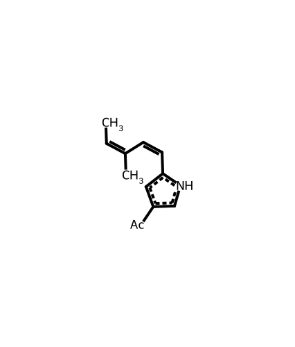 C/C=C(C)\C=C/c1cc(C(C)=O)c[nH]1